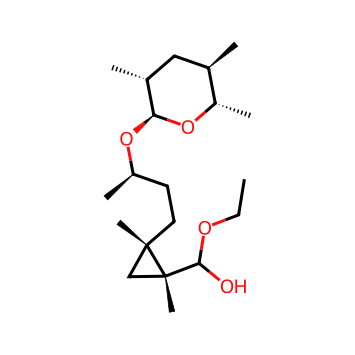 CCOC(O)[C@]1(C)C[C@]1(C)CC[C@@H](C)O[C@@H]1O[C@@H](C)[C@H](C)C[C@H]1C